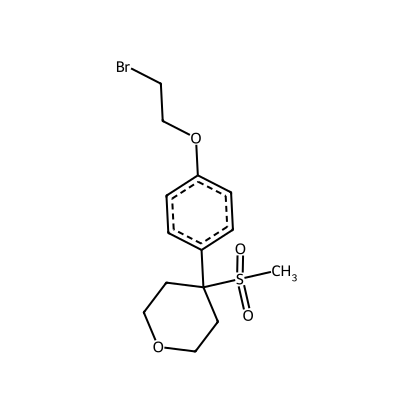 CS(=O)(=O)C1(c2ccc(OCCBr)cc2)CCOCC1